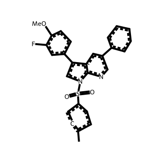 COc1ccc(-c2cn(S(=O)(=O)c3ccc(C)cc3)c3ncc(-c4ccccc4)cc23)cc1F